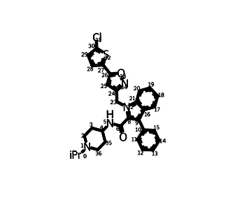 CC(C)N1CCC(NC(=O)c2c(-c3ccccc3)c3ccccc3n2Cc2cc(-c3ccc(Cl)s3)on2)CC1